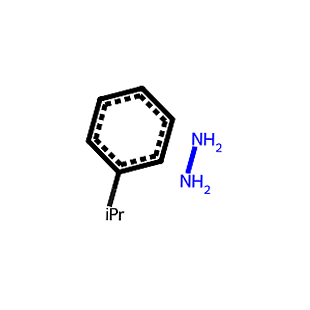 CC(C)c1ccccc1.NN